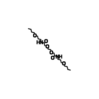 CCCCOCCCNC(=O)COCCOCC(=O)NCCCOCCCC